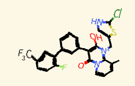 Cc1cccn2c(=O)c(-c3cccc(-c4cc(C(F)(F)F)ccc4F)c3)c(O)[n+](CC3=CNC(Cl)S3)c12